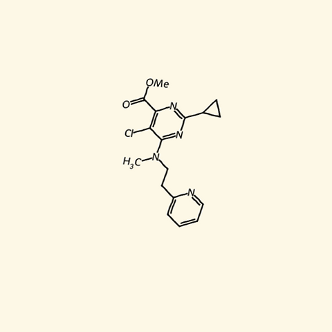 COC(=O)c1nc(C2CC2)nc(N(C)CCc2ccccn2)c1Cl